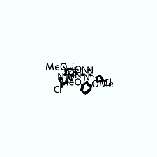 COc1cccc(OC)c1-n1c(NS(=O)(=O)[C@@H](C)[C@H](OC)c2ncc(Cl)cn2)nnc1[C@H]1C[C@H](Cl)C1